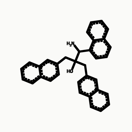 NC(c1cccc2ccccc12)C(O)(Cc1ccc2ccccc2c1)Cc1ccc2ccccc2c1